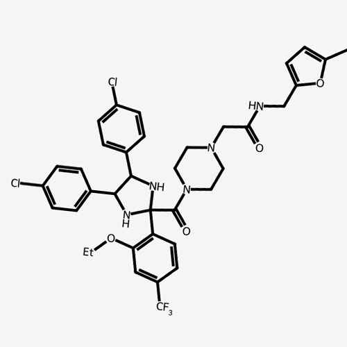 CCOc1cc(C(F)(F)F)ccc1C1(C(=O)N2CCN(CC(=O)NCc3ccc(C)o3)CC2)NC(c2ccc(Cl)cc2)C(c2ccc(Cl)cc2)N1